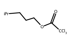 CC(C)CCCOC(=O)C(Cl)(Cl)Cl